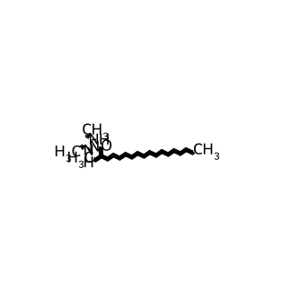 CCCCCCCCCCCCCCCCC(CC)C(=O)N(NCC)NCC